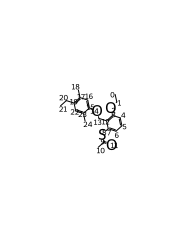 CCOc1cccc(SC(C)=O)c1COc1cc(C)c(CC)cc1C